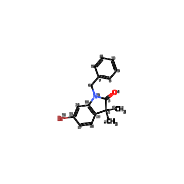 CC1(C)C(=O)N(Cc2ccccc2)c2cc(Br)ccc21